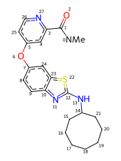 CNC(=O)c1cc(Oc2ccc3nc(NC4CCCCCCC4)sc3c2)ccn1